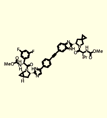 COC(=O)N[C@H](C(=O)N1CC2(CC2)C[C@H]1c1nc2ccc(C#Cc3ccc(-c4cnc([C@@H]5C[C@H]6C[C@H]6N5C(=O)[C@H](NC(=O)OC)c5cc(F)cc(F)c5)[nH]4)cc3)cc2[nH]1)C(C)C